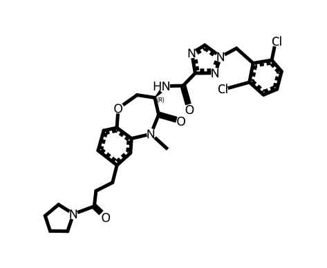 CN1C(=O)[C@H](NC(=O)c2ncn(Cc3c(Cl)cccc3Cl)n2)COc2ccc(CCC(=O)N3CCCC3)cc21